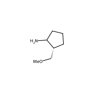 COC[C@H]1CCCC1N